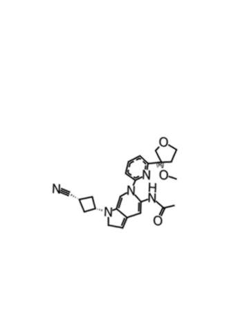 CO[C@@]1(c2cccc(N3C=C4C(=CCN4[C@H]4C[C@@H](C#N)C4)C=C3NC(C)=O)n2)CCOC1